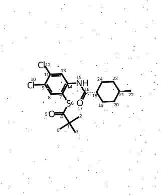 CC(C)(C)C(=O)Sc1cc(Cl)c(Cl)cc1NC(=O)[C@H]1CC[C@H](C)CC1